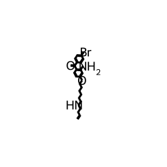 C=CCCNCCCCCCOc1ccc(C(=O)c2ccc(Br)cc2)c(N)c1